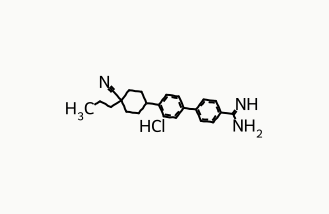 CCCC1(C#N)CCC(c2ccc(-c3ccc(C(=N)N)cc3)cc2)CC1.Cl